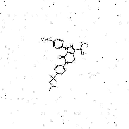 COc1ccc(-n2nc(C(N)=O)c3c2C(=O)N(c2ccc(C(C)(C)CN(C)C)cc2)CC3)cc1